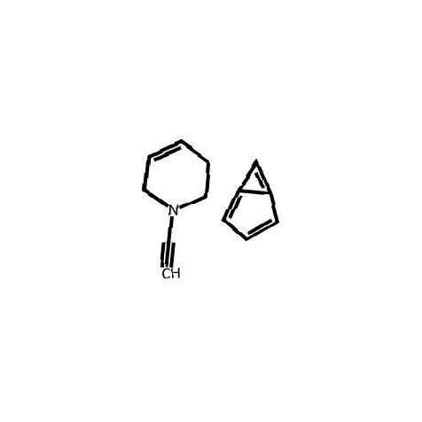 C#CN1CC=CCC1.c1cc2cc-2c1